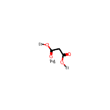 CCOC(=O)CC(=O)OCC.[Pd]